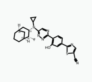 N#Cc1cnc(-c2ccc(-c3ncc(N(C4CC4)[C@H]4C[C@@H]5CCC[C@@H](C5)[C@H]4F)nn3)c(O)c2)s1